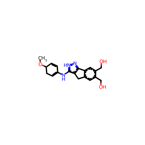 COC1C=CC(Nc2[nH]nc3c2Cc2cc(CO)c(CO)cc2-3)=CC1